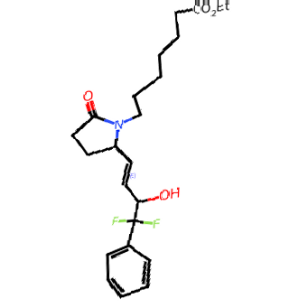 CCOC(=O)CCCCCCN1C(=O)CCC1/C=C/C(O)C(F)(F)c1ccccc1